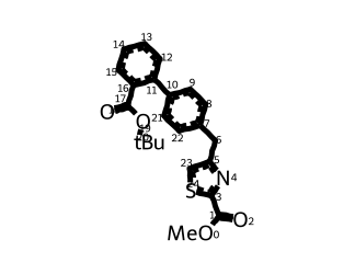 COC(=O)c1nc(Cc2ccc(-c3ccccc3C(=O)OC(C)(C)C)cc2)cs1